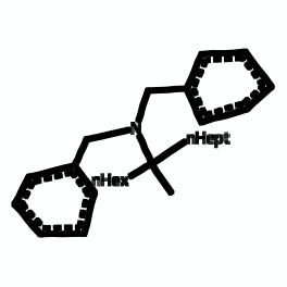 CCCCCCCC(C)(CCCCCC)N(Cc1ccccc1)Cc1ccccc1